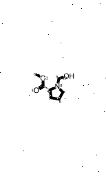 COC(=O)[C@H]1CCCN1CO